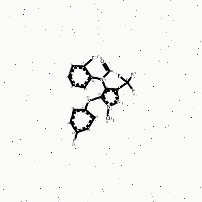 Cn1nc(C(F)(F)F)c(N(C=O)c2ccccc2F)c1Sc1ccc(F)cc1